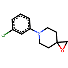 Clc1cccc(N2CCC3(CC2)CO3)c1